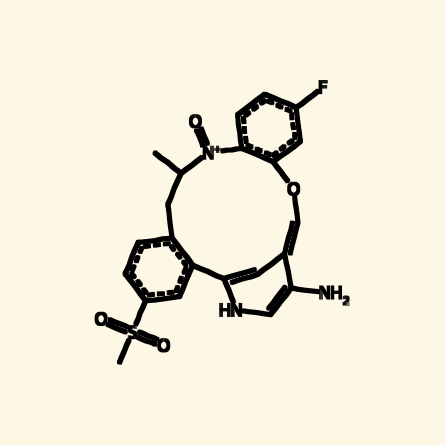 CC1Cc2ccc(S(C)(=O)=O)cc2C2=C/C(=C\Oc3cc(F)ccc3[N+]1=O)C(N)=CN2